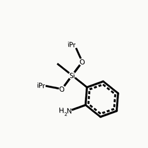 CC(C)O[Si](C)(OC(C)C)c1ccccc1N